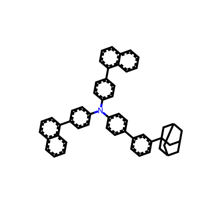 c1cc(-c2ccc(N(c3ccc(-c4cccc5ccccc45)cc3)c3ccc(-c4cccc5ccccc45)cc3)cc2)cc(C23CC4CC(CC(C4)C2)C3)c1